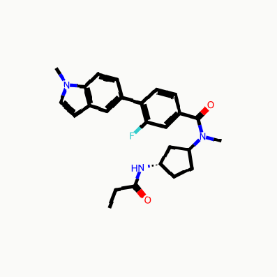 CCC(=O)N[C@H]1CCC(N(C)C(=O)c2ccc(-c3ccc4c(ccn4C)c3)c(F)c2)C1